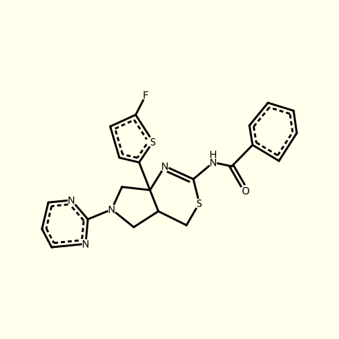 O=C(NC1=NC2(c3ccc(F)s3)CN(c3ncccn3)CC2CS1)c1ccccc1